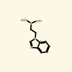 CCCCCCCCN(CCCCCCCC)CCn1cnc2ccccc21